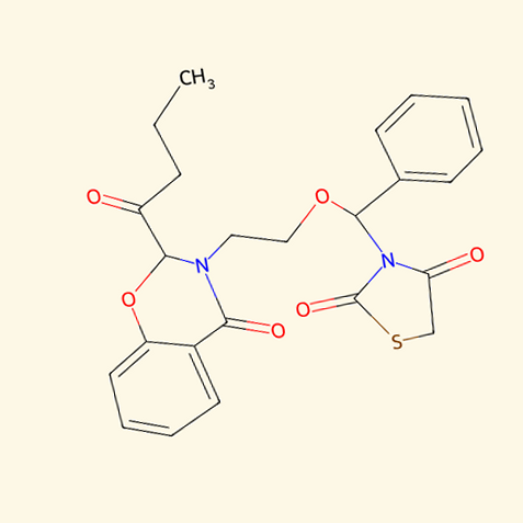 CCCC(=O)C1Oc2ccccc2C(=O)N1CCOC(c1ccccc1)N1C(=O)CSC1=O